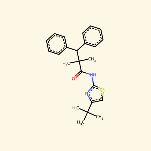 CC(C)(C)c1csc(NC(=O)C(C)(C)C(c2ccccc2)c2ccccc2)n1